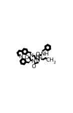 C=CCN(C(=O)NCc1ccccc1)N1CC(=O)N2[C@@H](Cc3ccccc3)C(=O)N(Cc3ccc4cccnc4c3)C[C@@H]21